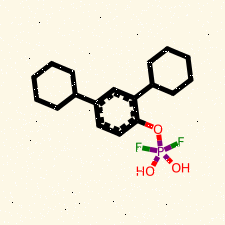 OP(O)(F)(F)Oc1ccc(C2CCCCC2)cc1C1CCCCC1